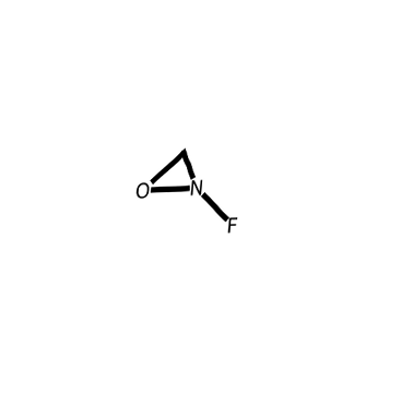 FN1CO1